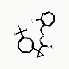 CC(=NOCC1=C(C)C=CCC=C1)C1(C2=C/C/C(C(F)(F)F)=C\C/C=C\2)CC1